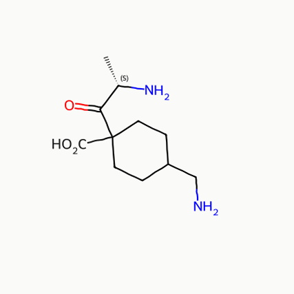 C[C@H](N)C(=O)C1(C(=O)O)CCC(CN)CC1